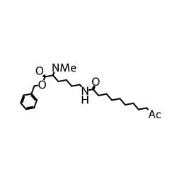 CNC(CCCCNC(=O)CCCCCCCCC(C)=O)C(=O)OCc1ccccc1